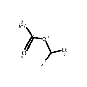 CCC(I)OC(=O)C(C)C